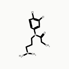 CCC(=O)N(CCCN(C)C)c1ccc(Cl)c(Cl)c1